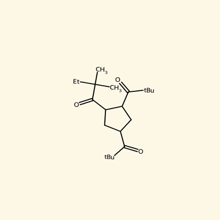 CCC(C)(C)C(=O)C1CC(C(=O)C(C)(C)C)CC1C(=O)C(C)(C)C